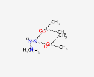 CCCCCCCCC(CCCCCC)COC(=O)CCCCCCN(CCCCCCC(=O)OCC(CCCCCC)CCCCCCCC)CCN(CCCCN(C)C)C1CCC1